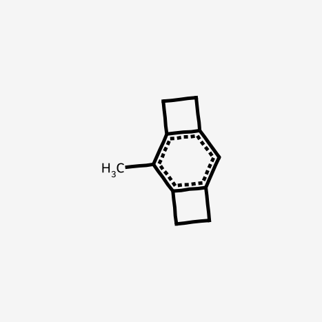 Cc1c2c(cc3c1CC3)CC2